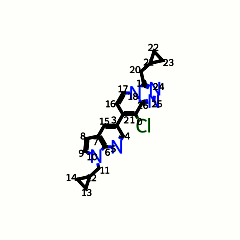 Clc1c(-c2cnc3c(ccn3CC3CC3)c2)ccn2c(CC3CC3)nnc12